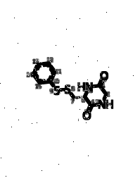 O=C1CNC(=O)[C@H](CSSc2ccccc2)N1